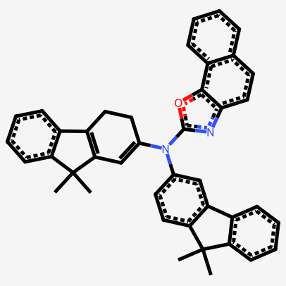 CC1(C)C2=C(CCC(N(c3ccc4c(c3)-c3ccccc3C4(C)C)c3nc4ccc5ccccc5c4o3)=C2)c2ccccc21